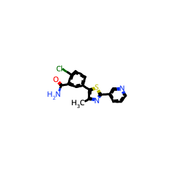 Cc1nc(-c2cccnc2)sc1-c1ccc(Cl)c(C(N)=O)c1